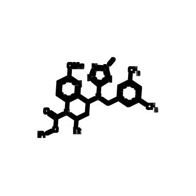 CCC1CC(N(Cc2cc(C(F)(F)F)cc(C(F)(F)F)c2)c2nnn(C)n2)c2nc(OC)ccc2N1C(=O)OC(C)C